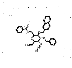 [N-]=[N+]=N[C@@H]1C(C=N)OC(COC(=O)c2ccccc2)C(OCc2ccc3ccccc3c2)[C@H]1OCc1ccccc1